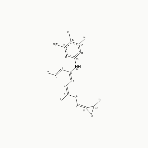 C/C=C/C(=C\C=C(\C)C/C=C1/CC1C)Nc1cc(C)c(C)c(F)c1